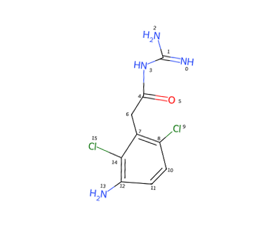 N=C(N)NC(=O)Cc1c(Cl)ccc(N)c1Cl